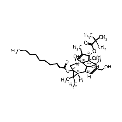 CCCCCCCCCC(=O)O[C@@]12C[C@@H](C)[C@]34C=C(C)[C@H](OC(=O)C(C)(C)C)[C@@]3(O)[C@H](O)C(CO)=C[C@H](C4O)[C@@H]1C2(C)C